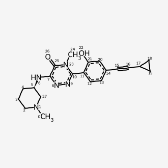 CN1CCC[C@@H](Nc2nnc(-c3ccc(C#CC4CC4)cc3O)n(C)c2=O)C1